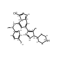 Cc1c(-c2cc(O[C@H](C)c3ccc(F)cn3)n3c(Cl)cnc3c2)nnn1C1CCNCC1